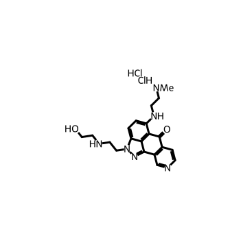 CNCCNc1ccc2c3c(nn2CCNCCO)-c2cnccc2C(=O)c13.Cl.Cl